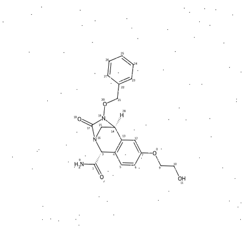 NC(=O)[C@H]1c2ccc(OCCO)cc2[C@H]2CN1C(=O)N2OCc1ccccc1